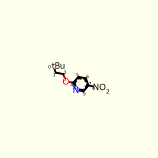 CC(C)(C)CCOc1ccc([N+](=O)[O-])cn1